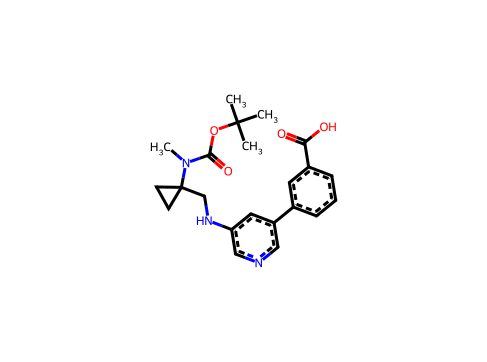 CN(C(=O)OC(C)(C)C)C1(CNc2cncc(-c3cccc(C(=O)O)c3)c2)CC1